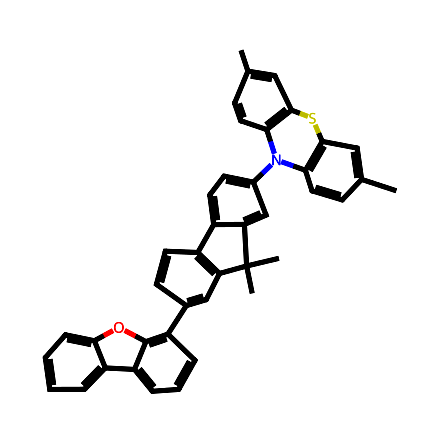 Cc1ccc2c(c1)Sc1cc(C)ccc1N2c1ccc2c(c1)C(C)(C)c1cc(-c3cccc4c3oc3ccccc34)ccc1-2